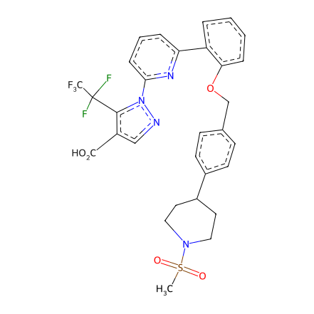 CS(=O)(=O)N1CCC(c2ccc(COc3ccccc3-c3cccc(-n4ncc(C(=O)O)c4C(F)(F)C(F)(F)F)n3)cc2)CC1